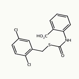 O=C(Nc1ccccc1C(=O)O)SCc1cc(Cl)ccc1Cl